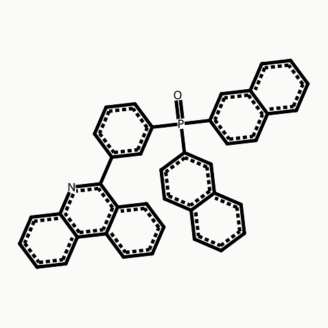 O=P(c1cccc(-c2nc3ccccc3c3ccccc23)c1)(c1ccc2ccccc2c1)c1ccc2ccccc2c1